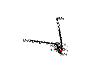 COCCOCCOCCOCCOCCOCCOCCOCC(C)(C)C(=O)Oc1c(OC(=O)C(C)(C)COCCOCCOCCOCCOCCOCCOCCOC)c(C(=O)N(C)C)n(-c2ccc(OC)cc2)c1C(=O)N(C)C